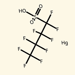 O=S(=O)(O)C(F)(F)C(F)(F)C(F)(F)C(F)(F)F.[Hg]